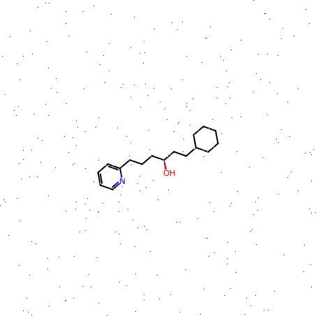 O[C@@H](CCCc1ccccn1)CCC1CCCCC1